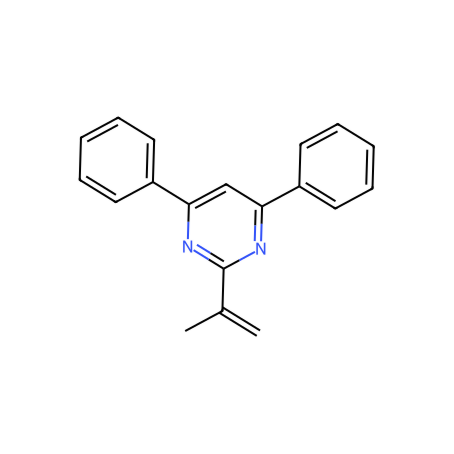 C=C(C)c1nc(-c2ccccc2)cc(-c2ccccc2)n1